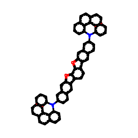 c1ccc(N(c2ccc3cc4c(cc3c2)oc2c4ccc3c4cc5ccc(N(c6ccccc6)c6cccc7ccc8ccccc8c67)cc5cc4oc32)c2cccc3ccc4ccccc4c23)cc1